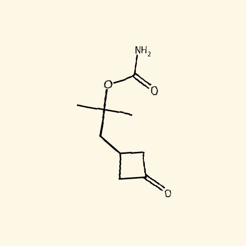 CC(C)(CC1CC(=O)C1)OC(N)=O